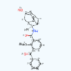 COc1c(C(=O)N[C@H]2C3CC4CC2C[C@](O)(C4)C3)cccc1C(=O)c1ccccc1